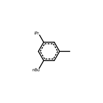 [CH2]C(C)c1cc(C)cc(CCCC)c1